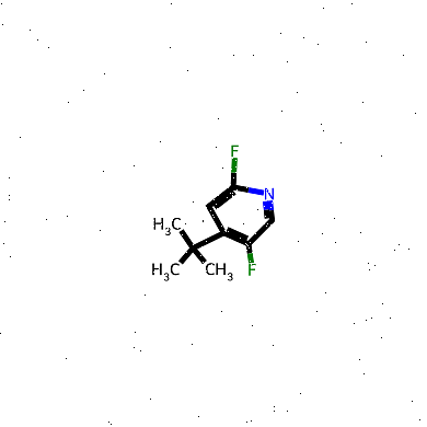 CC(C)(C)c1cc(F)ncc1F